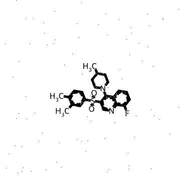 Cc1ccc(S(=O)(=O)c2cnc3c(F)cccc3c2N2CCC(C)CC2)cc1C